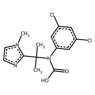 Cn1ccnc1C(C)(C)N(C(=O)O)c1cc(Cl)cc(Cl)c1